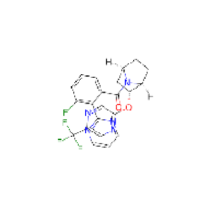 O=C(c1cccc(F)c1-c1ncccn1)N1[C@@H]2CC[C@H]1[C@H](Oc1cnc(C(F)(F)F)cn1)C2